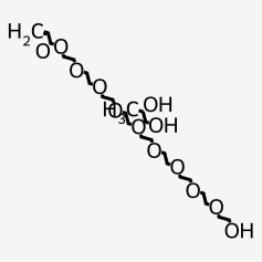 C=CC(=O)OCCOCCOCCOCCOCCOCCOCCOCCOCCO.CC(O)CO